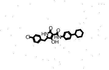 O=C(Nc1ccc(C2CCCCC2)cc1)C1=C(O)C(Cc2ccc(Cl)cc2)NC1=O